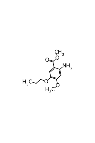 CCCOc1cc(C(=O)OC)c(N)cc1OC